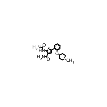 CN1CCC(Oc2ccccc2-c2cc(C(N)=O)c(NC(N)=O)s2)CC1